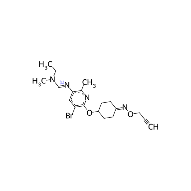 C#CCON=C1CCC(Oc2nc(C)c(/N=C/N(C)CC)cc2Br)CC1